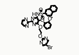 COc1ccccc1Oc1c(NS(=O)(=O)c2ccc3ccccc3c2)nc(-c2ncccn2)nc1OCCOc1ncc(Br)cn1